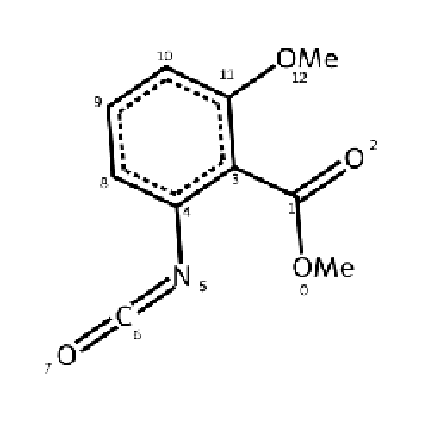 COC(=O)c1c(N=C=O)cccc1OC